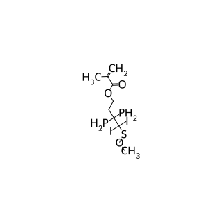 C=C(C)C(=O)OCCC(P)(P)C(I)(I)SOC